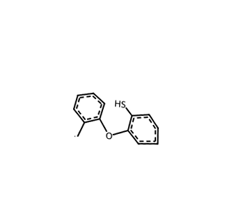 [CH2]c1ccccc1Oc1ccccc1S